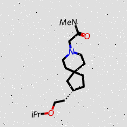 CNC(=O)CN1CCC2(CC[C@H](CCOC(C)C)C2)CC1